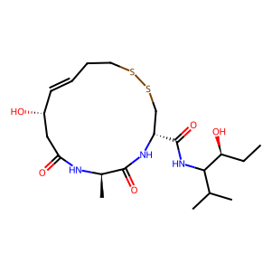 CC[C@H](O)C(NC(=O)[C@H]1CSSCC/C=C/[C@@H](O)CC(=O)N[C@H](C)C(=O)N1)C(C)C